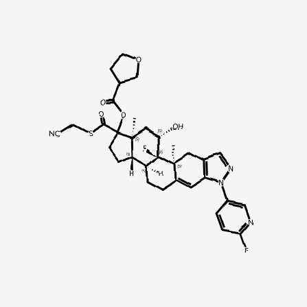 C[C@]12C[C@H](O)[C@@]3(F)[C@@H](CCC4=Cc5c(cnn5-c5ccc(F)nc5)C[C@@]43C)[C@@H]1CCC2(OC(=O)C1CCOC1)C(=O)SCC#N